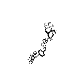 CN(C)S(=O)(=O)Cc1ccc(CN2CCC3(CCN(c4ncnc5sc(CC(F)(F)F)cc45)C3)C2)cc1